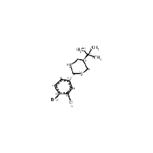 CC(C)(C)[C@H]1CS[C@H](c2ccc(Br)c(Cl)c2)SC1